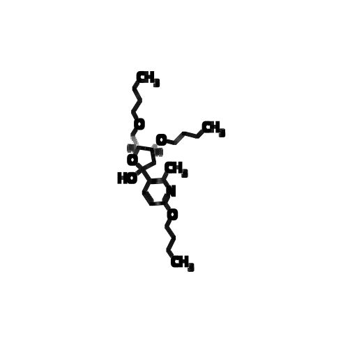 CCCCOC[C@H]1OC(O)(c2ccc(OCCCC)nc2C)C[C@H]1OCCCC